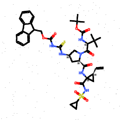 C=C[C@@H]1C[C@]1(NC(=O)[C@@H]1C[C@@H](NC(=S)NC(=O)OCC2c3ccccc3-c3ccccc32)CN1C(=O)[C@@H](NC(=O)OC(C)(C)C)C(C)(C)C)C(=O)NS(=O)(=O)C1CC1